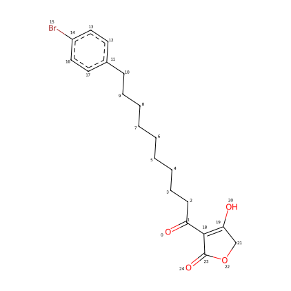 O=C(CCCCCCCCCc1ccc(Br)cc1)C1=C(O)COC1=O